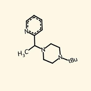 CC(c1ccccn1)N1CCN(C(C)(C)C)CC1